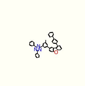 Cc1cc(-c2ccc3c(c2)C2=C(c4ccc(-c5ccccc5)cc4)C=CCC2O3)cc(-c2nc(-c3ccccc3)nc(-c3ccccc3)n2)c1